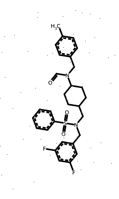 Cc1ccc(CN(C=O)C2CCC(CN(Cc3cc(F)cc(F)c3)S(=O)(=O)c3ccccc3)CC2)cc1